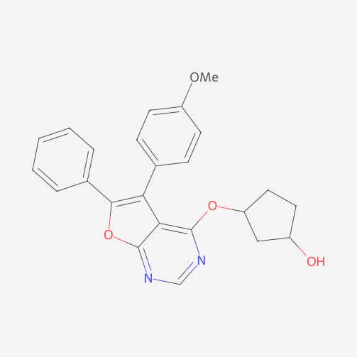 COc1ccc(-c2c(-c3ccccc3)oc3ncnc(OC4CCC(O)C4)c23)cc1